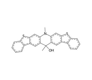 CN1c2cc3sc4ccccc4c3cc2C(C)(O)c2cc3c(cc21)sc1ccccc13